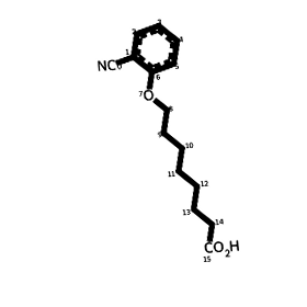 N#Cc1ccccc1OCCCCCCCC(=O)O